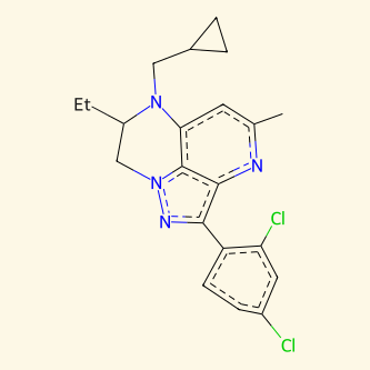 CCC1Cn2nc(-c3ccc(Cl)cc3Cl)c3nc(C)cc(c32)N1CC1CC1